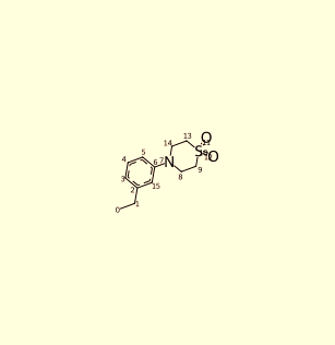 CCc1cccc(N2CCS(=O)(=O)CC2)c1